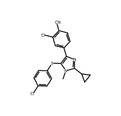 Cn1c(C2CC2)nc(-c2ccc(C#N)c(Cl)c2)c1Sc1ccc(Cl)cc1